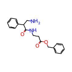 NCC(C(=O)NCCC(=O)OCc1ccccc1)c1ccccc1